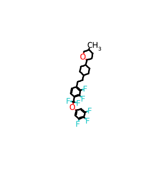 CC1CCC(C2CCC(CCc3ccc(C(F)(F)Oc4cc(F)c(F)c(F)c4)c(F)c3F)CC2)OC1